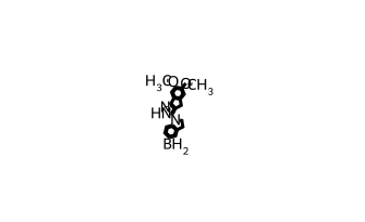 Bc1ccc2c(c1)CCN2c1[nH]nc2c1Cc1cc(OC)c(OC)cc1-2